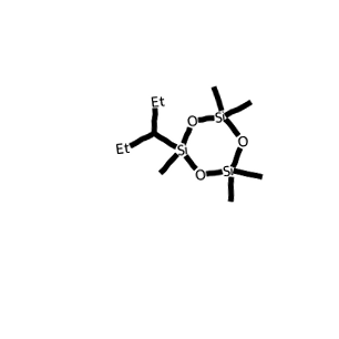 CCC(CC)[Si]1(C)O[Si](C)(C)O[Si](C)(C)O1